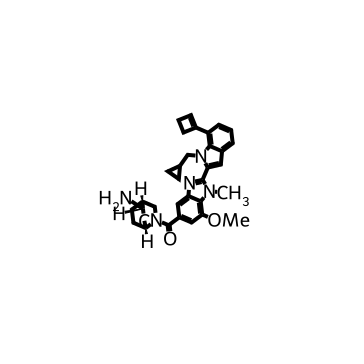 COc1cc(C(=O)N2C[C@H]3CC[C@@H]2C[C@@H]3N)cc2nc(-c3cc4cccc(C5=CCC5)c4n3CC3CC3)n(C)c12